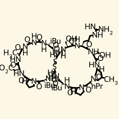 CCC[C@H]1C(=O)N2CCC[C@H]2C(=O)N[C@@H]([C@@H](C)CC)C(=O)N[C@H]2SS[C@H](NC(=O)[C@H]([C@@H](C)CC)NC(=O)NC(=O)NC(=O)[C@H](C)NC(=O)[C@H](CC(=O)O)NC(=O)[C@@H]3CCCN3C(=O)[C@H]([C@@H](C)CC)NC2=O)C(=O)N[C@@H](CO)C(=O)N[C@@H](CCCNC(=N)N)C(=O)N[C@@H](CO)C(=O)N[C@H]2CC(C)CN1C2=O